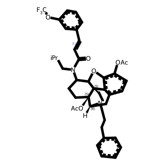 CC(=O)Oc1ccc2c3c1OC1C(N(CC(C)C)C(=O)/C=C/c4cccc(OC(F)(F)F)c4)CC[C@@]4(OC(C)=O)[C@@H](C2)N(CCc2ccccc2)CC[C@]314